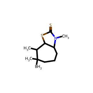 BC1(C)CCCC2C(SC(=S)N2C)C1C